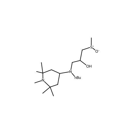 CCCCN(CC(O)C[S+](C)[O-])C1CC(C)(C)N(C)C(C)(C)C1